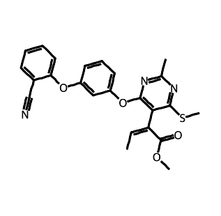 CC=C(C(=O)OC)c1c(Oc2cccc(Oc3ccccc3C#N)c2)nc(C)nc1SC